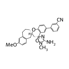 COc1ccc2c(c1)CCC[C@@]1(C2)C[C@@]2(N=C(N)N(C)O2)c2cc(-c3cccc(C#N)c3)ccc2O1